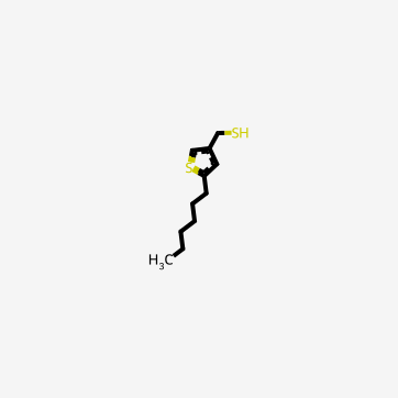 CCCCCCc1cc(CS)cs1